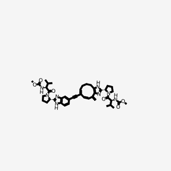 C=C1/C=C\C(C#Cc2ccc3[nH]c([C@@H]4CCCN4C(=O)[C@@H](NC(=O)OC)C(C)C)nc3c2)=C/CCCc2[nH]c([C@@H]3CCCN3C(=O)[C@@H](NC(=O)OC)C(C)C)nc21